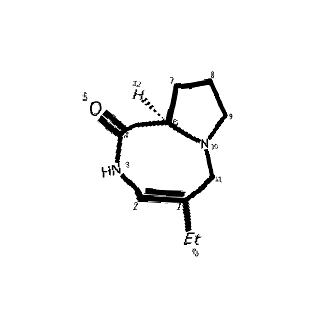 CCC1=CNC(=O)[C@H]2CCCN2C1